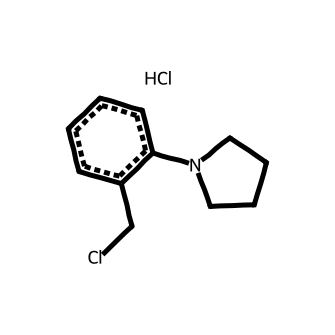 Cl.ClCc1ccccc1N1CCCC1